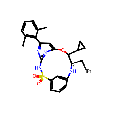 Cc1cccc(C)c1-c1cc2nc(n1)NS(=O)(=O)c1cccc(c1)N[C@H](CC(C)C)C(C1CC1)O2